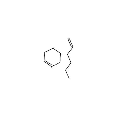 [CH]=CCCCC.[C]1=CCCCC1